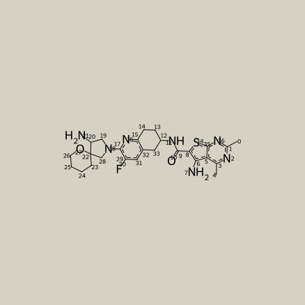 Cc1nc(C)c2c(N)c(C(=O)NC3CCc4nc(N5CC(N)C6(CCCCO6)C5)c(F)cc4C3)sc2n1